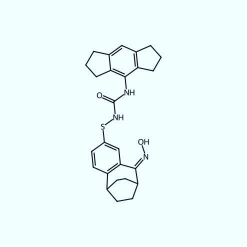 O=C(NSc1ccc2c(c1)/C(=N\O)C1CCC2CC1)Nc1c2c(cc3c1CCC3)CCC2